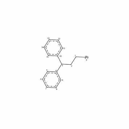 CC(C)CCC(c1ccccc1)c1ccccc1